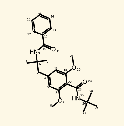 COc1cc(CC(C)(C)NC(=O)c2ccccn2)cc(OC)c1C(=O)NC(C)(C)C